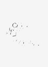 CC(OC(=O)CCNC(=O)OC(C)(C)C)C(=O)OC1=CCC2(O)C3Cc4ccc(OC(=O)OC(C)(C)C)c5c4C2(CCN3C)C1O5